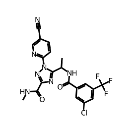 CNC(=O)c1nc(C(C)NC(=O)c2cc(Cl)cc(C(F)(F)F)c2)n(-c2ccc(C#N)cn2)n1